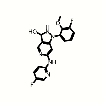 COc1c(F)cccc1N1NC(O)c2cnc(Nc3ccc(F)cn3)cc21